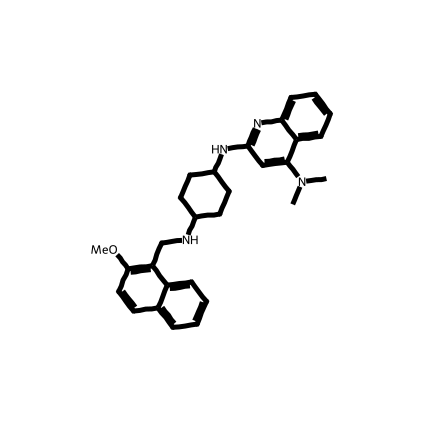 COc1ccc2ccccc2c1CNC1CCC(Nc2cc(N(C)C)c3ccccc3n2)CC1